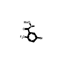 CON(C)C(=O)c1cc(Br)ccc1C(F)(F)F